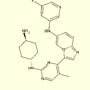 Cc1cnc(N[C@H]2CC[C@H](N)CC2)nc1-c1cnc2ccc(Nc3cncc(F)c3)cn12